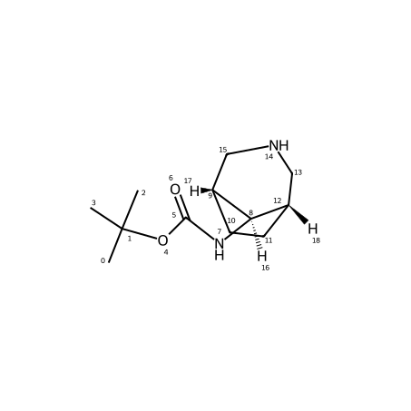 CC(C)(C)OC(=O)N[C@H]1[C@@H]2CC[C@H]1CNC2